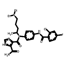 CCN(CC)CCCC(C)N(C(=O)c1nc[nH]c1C(N)=O)c1ccc(NC(=O)c2ccc(F)cc2Cl)cc1